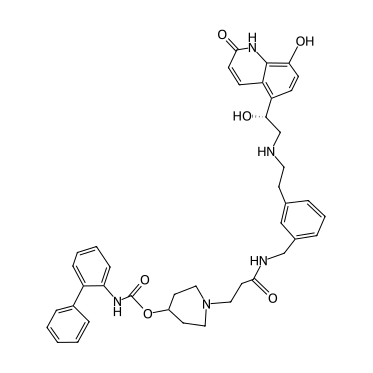 O=C(CCN1CCC(OC(=O)Nc2ccccc2-c2ccccc2)CC1)NCc1cccc(CCNC[C@H](O)c2ccc(O)c3[nH]c(=O)ccc23)c1